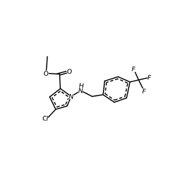 COC(=O)c1cc(Cl)cn1NCc1ccc(C(F)(F)F)cc1